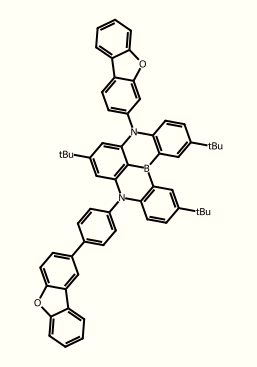 CC(C)(C)c1ccc2c(c1)B1c3cc(C(C)(C)C)ccc3N(c3ccc4c(c3)oc3ccccc34)c3cc(C(C)(C)C)cc(c31)N2c1ccc(-c2ccc3oc4ccccc4c3c2)cc1